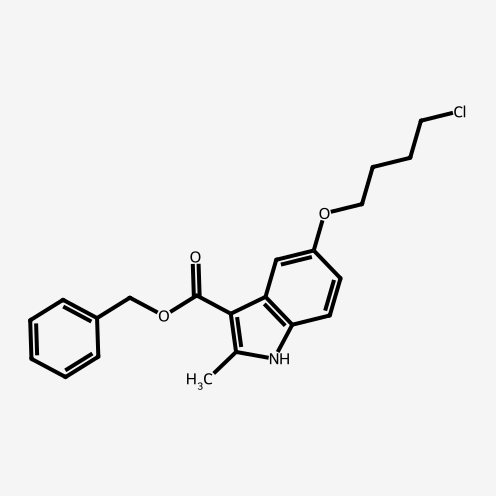 Cc1[nH]c2ccc(OCCCCCl)cc2c1C(=O)OCc1ccccc1